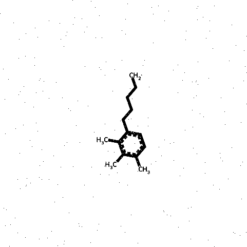 [CH2]CCCCc1ccc(C)c(C)c1C